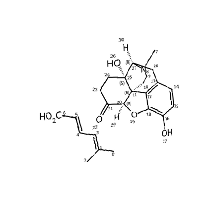 CC(C)=CC=CC(=O)O.CN1CC[C@]23c4c5ccc(O)c4O[C@H]2C(=O)CC[C@@]3(O)[C@H]1C5